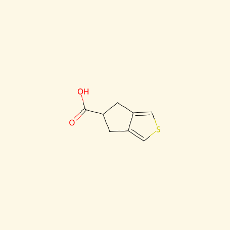 O=C(O)C1Cc2cscc2C1